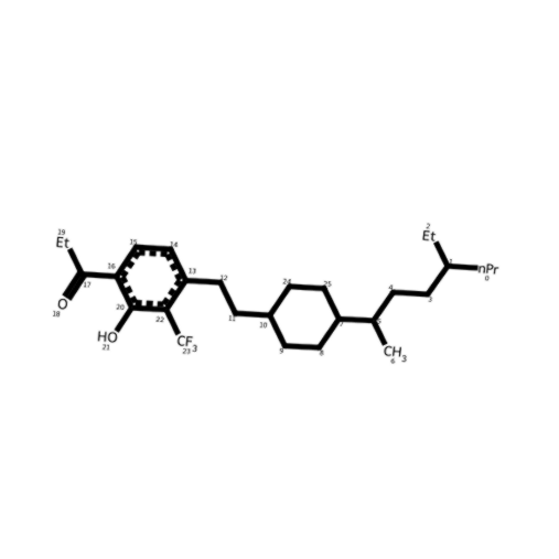 CCCC(CC)CCC(C)C1CCC(CCc2ccc(C(=O)CC)c(O)c2C(F)(F)F)CC1